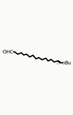 CCCC/C=C/CCCCCCCCCCCCCC[C]=O